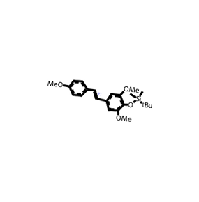 COc1ccc(/C=C/c2cc(OC)c(O[Si](C)(C)C(C)(C)C)c(OC)c2)cc1